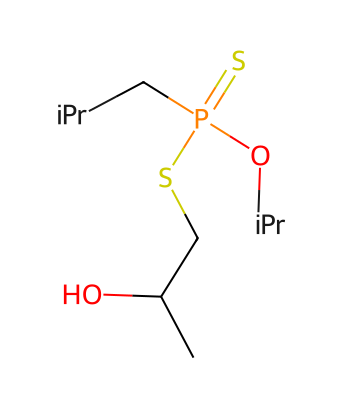 CC(C)CP(=S)(OC(C)C)SCC(C)O